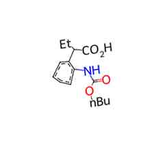 CCCCOC(=O)Nc1ccccc1C(CC)C(=O)O